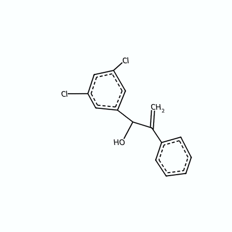 C=C(c1ccccc1)C(O)c1cc(Cl)cc(Cl)c1